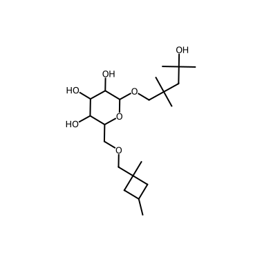 CC1CC(C)(COCC2OC(OCC(C)(C)CC(C)(C)O)C(O)C(O)C2O)C1